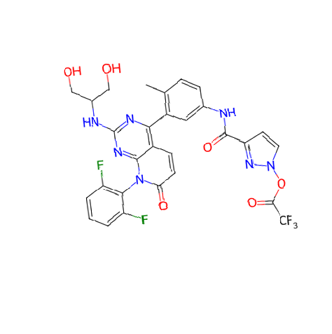 Cc1ccc(NC(=O)c2ccn(OC(=O)C(F)(F)F)n2)cc1-c1nc(NC(CO)CO)nc2c1ccc(=O)n2-c1c(F)cccc1F